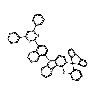 c1ccc(-c2cc(-c3ccccc3)nc(-c3ccc(-n4c5ccccc5c5c6c(ccc54)C4(c5ccccc5S6)c5ccccc5-c5ccccc54)c4ccccc34)n2)cc1